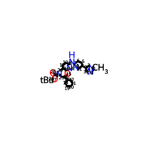 Cn1cc(-c2ccc(Nc3ccc4c(n3)OC(c3ccccc3)CN(C(=O)OC(C)(C)C)C4)nc2)cn1